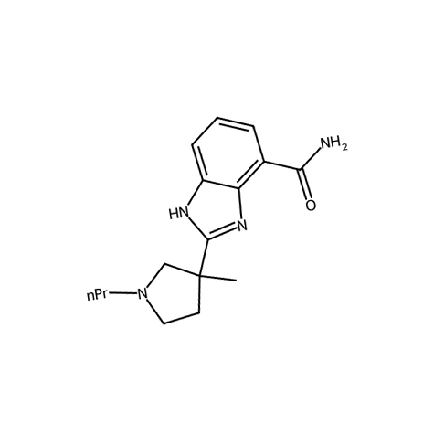 CCCN1CCC(C)(c2nc3c(C(N)=O)cccc3[nH]2)C1